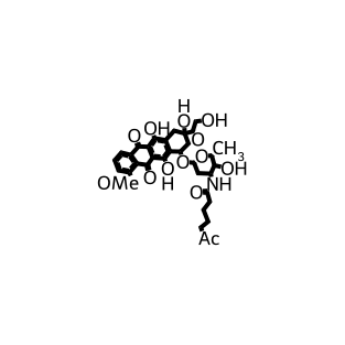 COc1cccc2c1C(=O)c1c(O)c3c(c(O)c1C2=O)CC(O)(C(=O)CO)CC3OC1CC(NC(=O)CCCCC(C)=O)C(O)C(C)O1